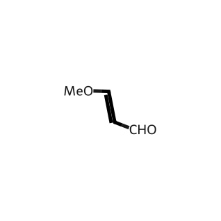 COC=CC=O